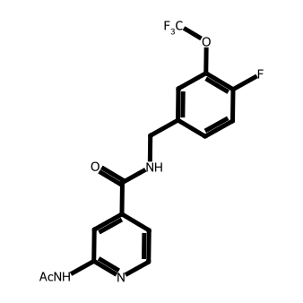 CC(=O)Nc1cc(C(=O)NCc2ccc(F)c(OC(F)(F)F)c2)ccn1